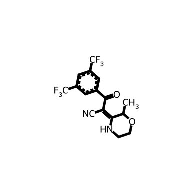 CC1OCCNC1=C(C#N)C(=O)c1cc(C(F)(F)F)cc(C(F)(F)F)c1